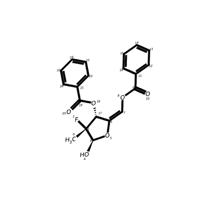 C[C@]1(F)[C@H](O)O/C(=C/OC(=O)c2ccccc2)[C@H]1OC(=O)c1ccccc1